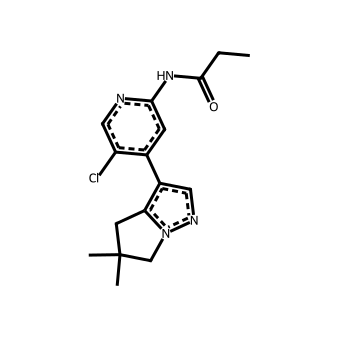 CCC(=O)Nc1cc(-c2cnn3c2CC(C)(C)C3)c(Cl)cn1